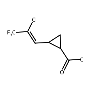 O=C(Cl)C1CC1C=C(Cl)C(F)(F)F